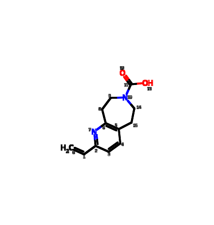 C=Cc1ccc2c(n1)CCN(C(=O)O)CC2